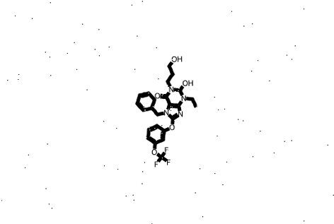 CCN1c2nc(Oc3cccc(OC(F)(F)F)c3)n(CC3C=CC=CC3)c2C(=O)N(CCCO)C1O